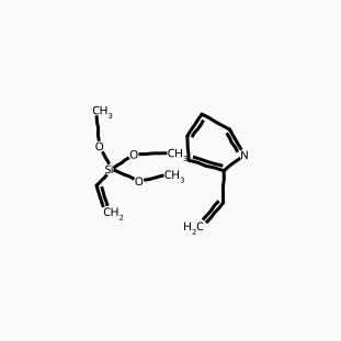 C=C[Si](OC)(OC)OC.C=Cc1ccccn1